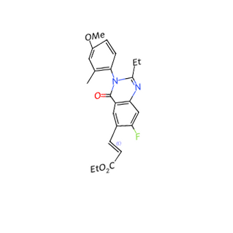 CCOC(=O)/C=C/c1cc2c(=O)n(-c3ccc(OC)cc3C)c(CC)nc2cc1F